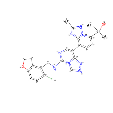 Cc1nc2c(-c3cnc(NCc4c(F)ccc5c4CCO5)n4cnnc34)ccc(C(C)(C)O)n2n1